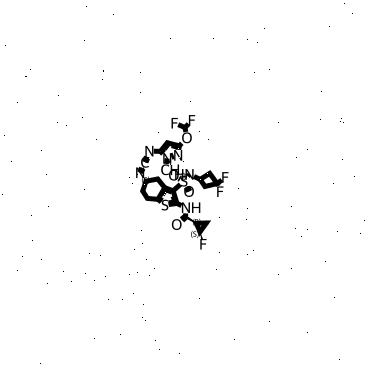 Cn1nc(OC(F)F)cc1N=C=N[C@H]1CCc2sc(NC(=O)[C@H]3C[C@@H]3F)c(S(=O)(=O)NC3CC(F)(F)C3)c2C1